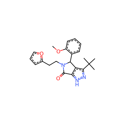 COc1ccccc1C1c2c(C(C)(C)C)n[nH]c2C(=O)N1CCc1ccco1